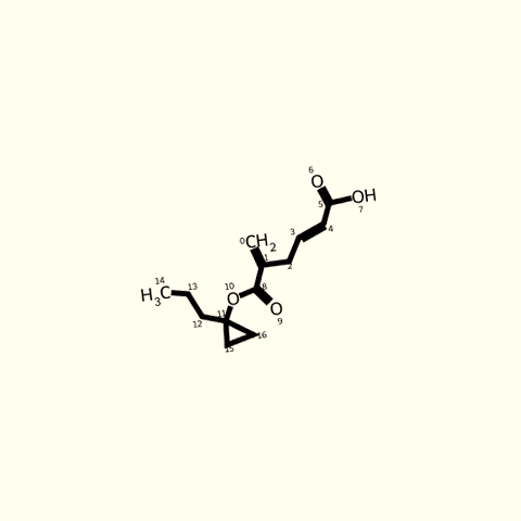 C=C(CC=CC(=O)O)C(=O)OC1(CCC)CC1